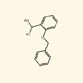 OB(O)c1ccccc1OCc1ccncc1